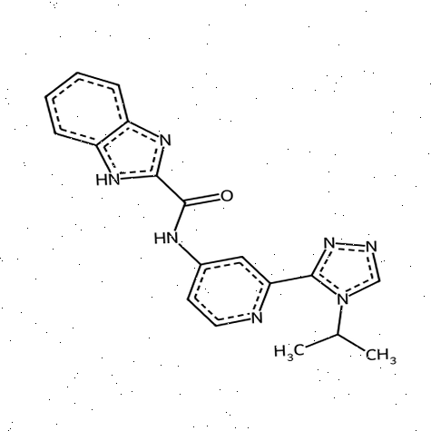 CC(C)n1cnnc1-c1cc(NC(=O)c2nc3ccccc3[nH]2)ccn1